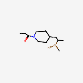 CCC(=O)N1CCC(CC(C)[SH](C)S)CC1